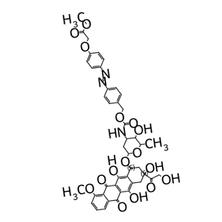 COC(=O)COc1ccc(N=Nc2ccc(COC(=O)NC3CC(O[C@H]4C[C@](O)(C(=O)CO)Cc5c(O)c6c(c(O)c54)C(=O)c4c(OC)cccc4C6=O)OC(C)C3O)cc2)cc1